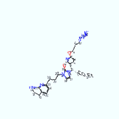 CCOC(=O)C[C@@H](c1ccc(OCCCN=[N+]=[N-])nc1)n1ccn(CCCc2ccc3c(n2)NCCC3)c1=O